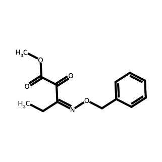 CCC(=NOCc1ccccc1)C(=O)C(=O)OC